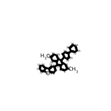 Cc1ccc2c(-c3ccc4oc5ccccc5c4c3)c3cc(C)ccc3c(-c3ccc(-c4ccccc4)cc3)c2c1